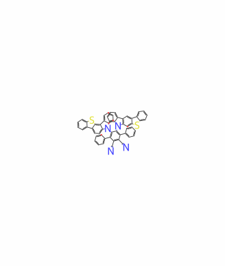 N#Cc1c(C#N)c(-c2ccccc2)c(-n2c3ccccc3c3c4sc5ccccc5c4ccc32)c(-n2c3ccccc3c3cc4c(cc32)sc2ccccc24)c1-c1ccccc1